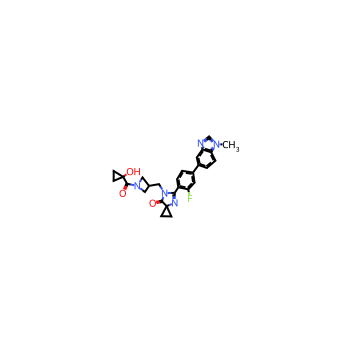 Cn1cnc2cc(-c3ccc(C4=NC5(CC5)C(=O)N4CC4CN(C(=O)C5(O)CC5)C4)c(F)c3)ccc21